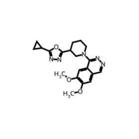 COc1cc2cnnc(N3CCCC(c4nnc(C5CC5)o4)C3)c2cc1OC